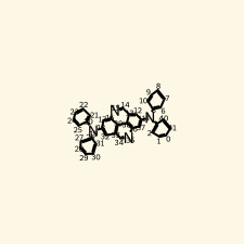 c1ccc(N(c2ccccc2)c2cc3cnc4cc(N(c5ccccc5)c5ccccc5)cc5cnc(c2)c3c54)cc1